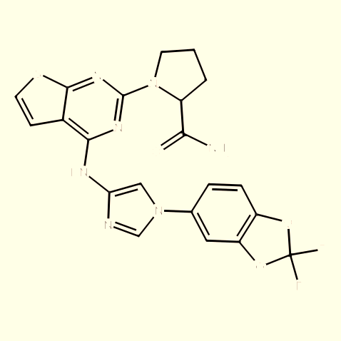 NC(=O)C1CCCN1c1nc(Nc2cn(-c3ccc4c(c3)OC(F)(F)O4)cn2)c2ccsc2n1